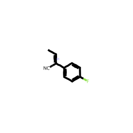 C/C=C(\C#N)c1ccc(F)cc1